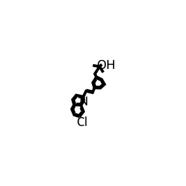 CC(C)(O)Cc1cccc(C=Cc2ccc3ccc(Cl)cc3n2)c1